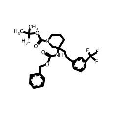 CC(C)(C)OC(=O)N1CCCC(CCc2cccc(C(F)(F)F)c2)(NC(=O)OCc2ccccc2)C1